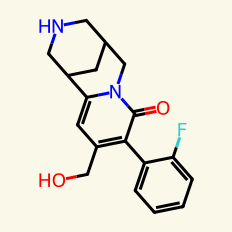 O=c1c(-c2ccccc2F)c(CO)cc2n1CC1CNCC2C1